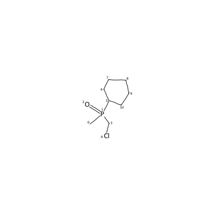 CP(=O)(CCl)C1CCCCC1